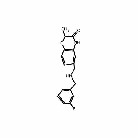 CC1Oc2ccc(CNCc3cccc(F)c3)cc2NC1=O